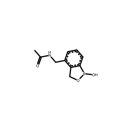 CC(=O)NCc1cccc2c1COB2O